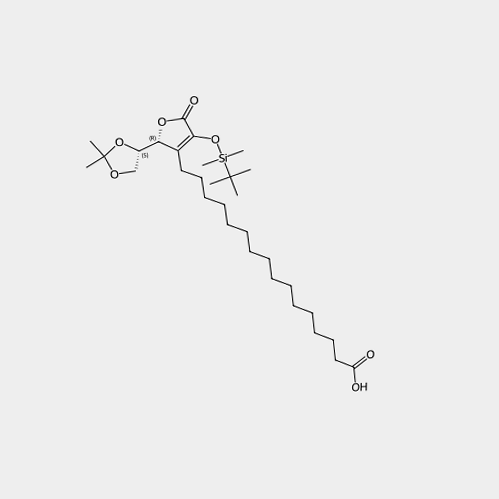 CC1(C)OC[C@@H]([C@@H]2OC(=O)C(O[Si](C)(C)C(C)(C)C)=C2CCCCCCCCCCCCCCCC(=O)O)O1